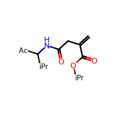 C=C(CC(=O)NC(C(C)=O)C(C)C)C(=O)OC(C)C